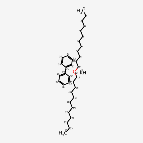 CCCCCCCCCCCCOCCCCCCCCCCCC.[KH].c1ccc(-c2ccccc2)cc1